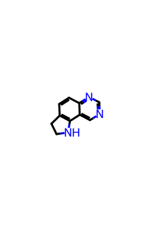 c1ncc2c3c(ccc2n1)CCN3